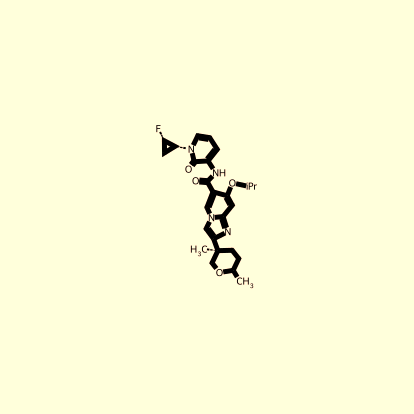 CC(C)Oc1cc2nc([C@@]3(C)CCC(C)OC3)cn2cc1C(=O)Nc1cccn([C@@H]2C[C@@H]2F)c1=O